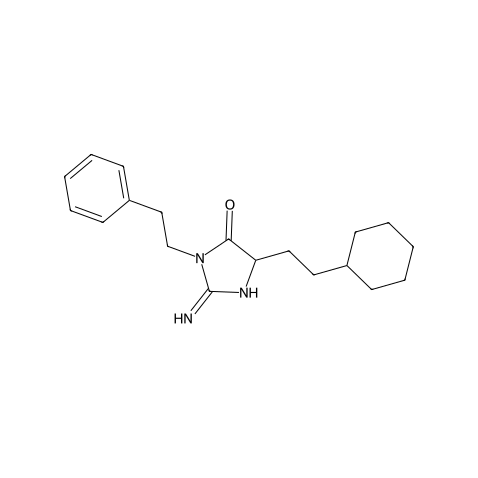 N=C1NC(CCC2CCCCC2)C(=O)N1CCc1ccccc1